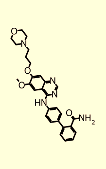 COc1cc2c(Nc3ccc(-c4ccccc4C(N)=O)cc3)ncnc2cc1OCCCN1CCOCC1